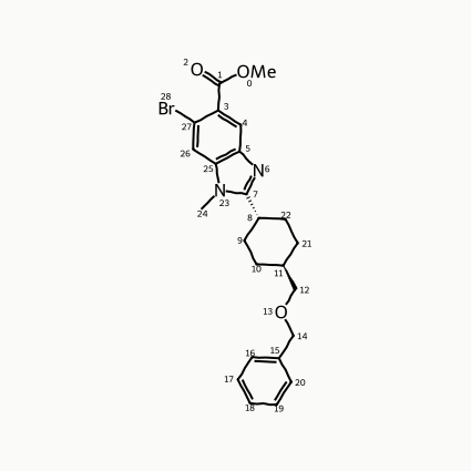 COC(=O)c1cc2nc([C@H]3CC[C@H](COCc4ccccc4)CC3)n(C)c2cc1Br